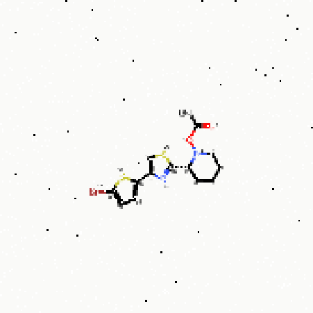 CC(C)(C)C(=O)ON1CCCC[C@@H]1c1nc(-c2ccc(Br)s2)cs1